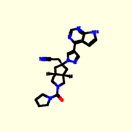 N#CC[C@@]1(n2cc(-c3ncnc4[nH]ccc34)cn2)C[C@H]2CN(C(=O)N3CCCC3)C[C@H]2C1